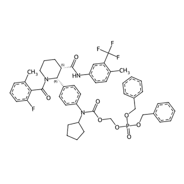 Cc1ccc(NC(=O)[C@H]2CCCN(C(=O)c3c(C)cccc3F)[C@H]2c2ccc(N(C(=O)OCOP(=O)(OCc3ccccc3)OCc3ccccc3)C3CCCC3)cc2)cc1C(F)(F)F